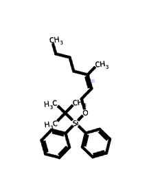 CCCC/C(C)=C\CO[Si](c1ccccc1)(c1ccccc1)C(C)(C)C